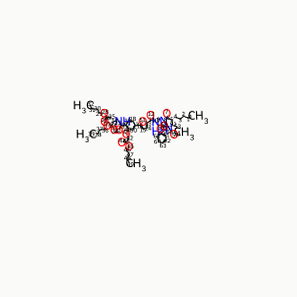 CCCCC[C@@H](C(=O)NCNC(=O)c1ccc(-c2ccc(C(=O)N[C@@H](CC(=O)OCCCC)C(=O)OCCCC)c(OCC(=O)OCCCC)c2)o1)[C@@H](CC)N(C=O)OOc1ccccc1